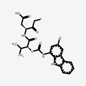 CC(C)[C@H](OC(=O)Nc1cc(Cl)cc2c1[nH]c1ccccc12)C(=O)N[C@@H](CC(=O)O)C(=O)CF